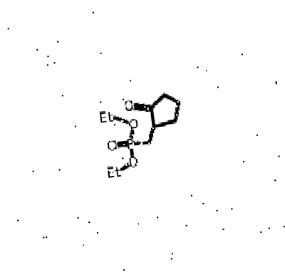 CCOP(=O)(CC1CCCC1=O)OCC